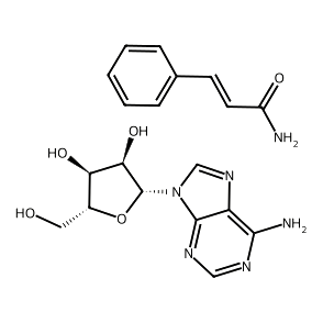 NC(=O)C=Cc1ccccc1.Nc1ncnc2c1ncn2[C@@H]1O[C@H](CO)[C@@H](O)[C@H]1O